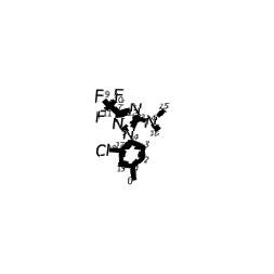 Cc1ccc(-n2nc(C(F)(F)F)nc2N(C)C)c(Cl)c1